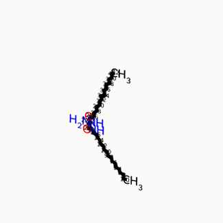 CCCCCC=CCC=CCCCCCCCCNC(=O)C(N)NC(=O)CCCCCCCC=CCC=CCCCCC